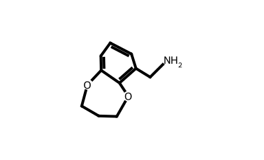 NCc1cccc2c1OCCCO2